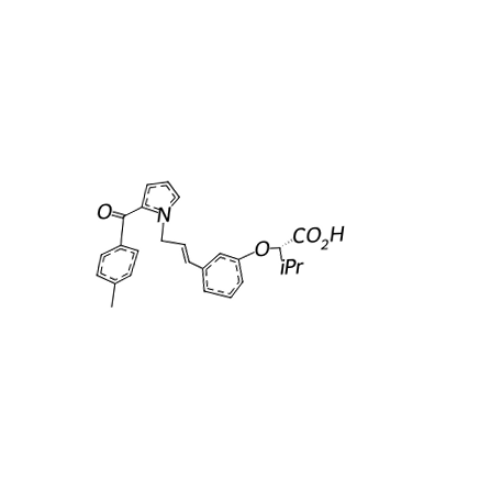 Cc1ccc(C(=O)c2cccn2C/C=C/c2cccc(O[C@H](C(=O)O)C(C)C)c2)cc1